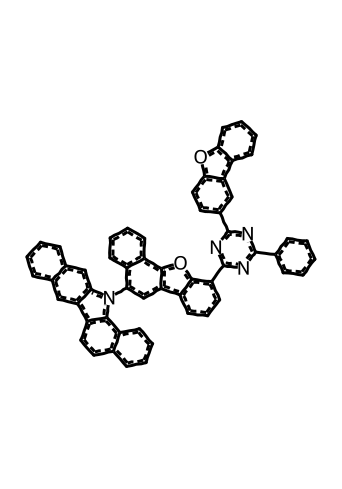 c1ccc(-c2nc(-c3ccc4oc5ccccc5c4c3)nc(-c3cccc4c3oc3c5ccccc5c(-n5c6cc7ccccc7cc6c6ccc7ccccc7c65)cc43)n2)cc1